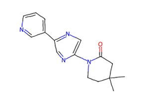 CC1(C)CCN(c2cnc(-c3cccnc3)cn2)C(=O)C1